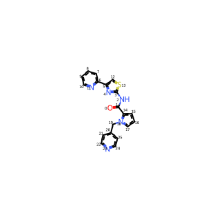 O=C(Nc1nc(-c2ccccn2)cs1)c1cccn1Cc1ccncc1